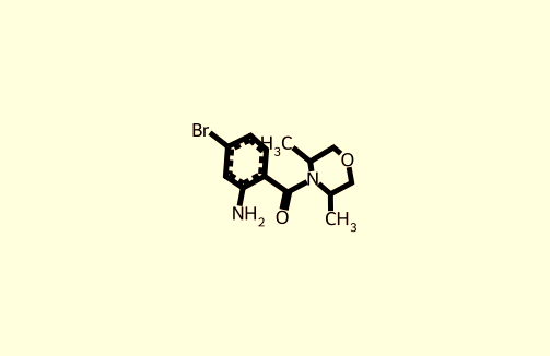 CC1COCC(C)N1C(=O)c1ccc(Br)cc1N